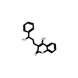 O=c1oc2ccccc2c(O)c1CCC(O)c1ccccc1